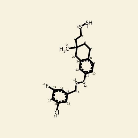 CC1(CCSS)CCc2ccc(SSCc3cc(F)cc(Cl)c3)cc2C1